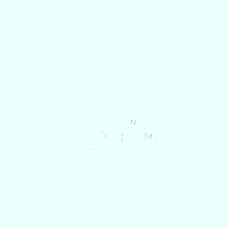 NC(=O)C1[C@@H]2CN(C(=O)C3CCCCC3)CC2CN1CC[CH]c1ccccc1